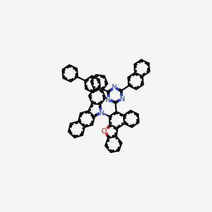 c1ccc(-c2ccc(-c3nc(-c4ccc5ccccc5c4)nc(-c4c(-n5c6cc7ccccc7cc6c6cc7ccccc7cc65)c5oc6ccccc6c5c5ccccc45)n3)cc2)cc1